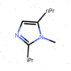 CCCc1cnc(C(C)C)n1C